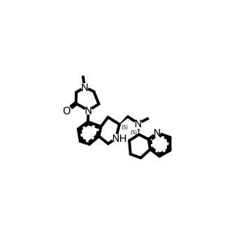 CN1CCN(c2cccc3c2C[C@@H](CN(C)[C@H]2CCCc4cccnc42)NC3)C(=O)C1